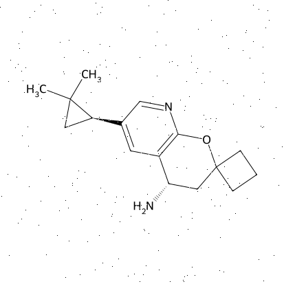 CC1(C)C[C@@H]1c1cnc2c(c1)[C@@H](N)CC1(CCC1)O2